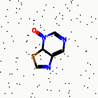 O=[N+]1C=NC=C2N=CSC21